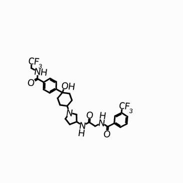 O=C(CNC(=O)c1cccc(C(F)(F)F)c1)NC1CCN(C2CCC(O)(c3ccc(C(=O)NCC(F)(F)F)cc3)CC2)C1